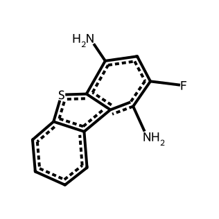 Nc1cc(F)c(N)c2c1sc1ccccc12